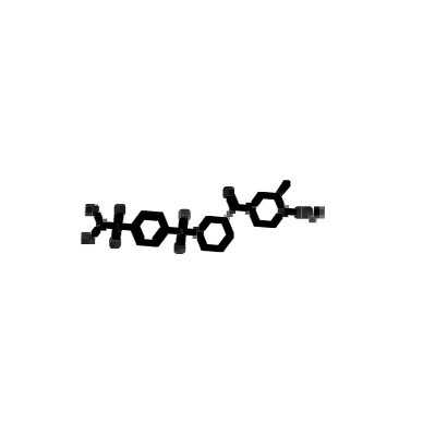 CCN(CC)S(=O)(=O)c1ccc(S(=O)(=O)N2CCC[C@@H](C(=O)N3CCN(C(=O)O)[C@H](C)C3)C2)cc1